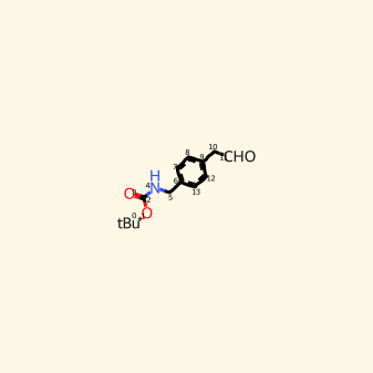 CC(C)(C)OC(=O)NCc1ccc(CC=O)cc1